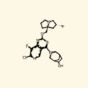 OC1CC2CC1CN(c1nc(OC[C@@]34CCCN3C[C@H](F)C4)nc3c(F)c(Cl)ncc13)C2